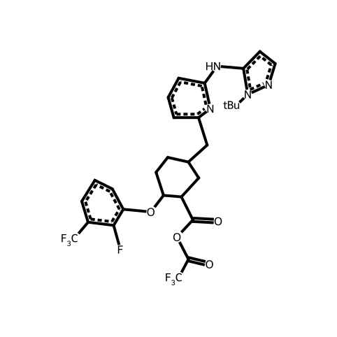 CC(C)(C)n1nccc1Nc1cccc(CC2CCC(Oc3cccc(C(F)(F)F)c3F)C(C(=O)OC(=O)C(F)(F)F)C2)n1